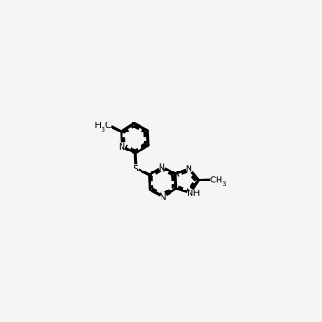 Cc1cccc(Sc2cnc3[nH]c(C)nc3n2)n1